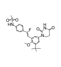 COc1c(C=C(F)c2ccc(NS(C)(=O)=O)cc2)cc(N2CCC(=O)NC2=O)cc1C(C)(C)C